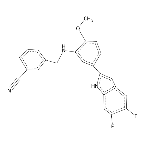 COc1ccc(-c2cc3cc(F)c(F)cc3[nH]2)cc1NCc1cccc(C#N)c1